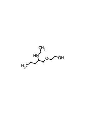 CCCC([C]OCCO)NCC